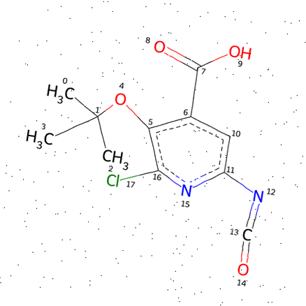 CC(C)(C)Oc1c(C(=O)O)cc(N=C=O)nc1Cl